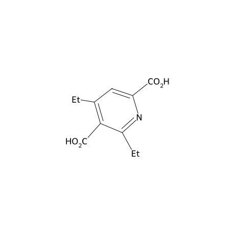 CCc1cc(C(=O)O)nc(CC)c1C(=O)O